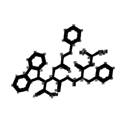 COC(=O)N(C1c2ccccc2-c2ccccc21)[C@@H](CC(=O)OCc1ccccc1)C(=O)CN[C@@H](Cc1ccccc1)C(=O)N[C@@H](C)C(=O)O